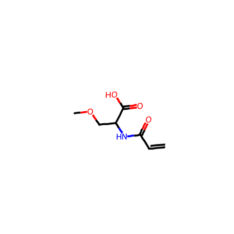 C=CC(=O)NC(COC)C(=O)O